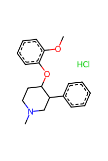 COc1ccccc1OC1CCN(C)CC1c1ccccc1.Cl